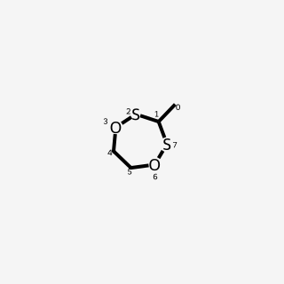 CC1SOCCOS1